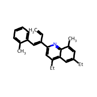 C=C/C(=C\c1ccccc1C)c1cc(CC)c2cc(CC)cc(C)c2n1